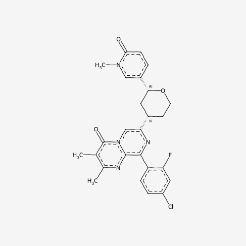 Cc1nc2c(-c3ccc(Cl)cc3F)nc([C@H]3CCO[C@@H](c4ccc(=O)n(C)c4)C3)cn2c(=O)c1C